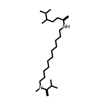 C=C(CCC(C)C(C)C)NCCCCCCCCCCCN(C)C(=C)C(C)C